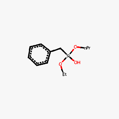 CCCO[Si](O)(Cc1ccccc1)OCC